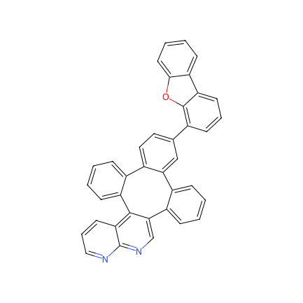 c1ccc2c(c1)-c1cc(-c3cccc4c3oc3ccccc34)ccc1-c1ccccc1-c1c-2cnc2ncccc12